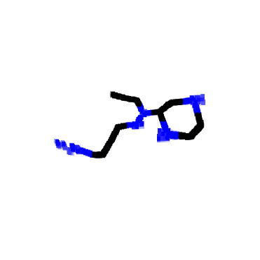 CCN(NCCN)C1CNCCN1